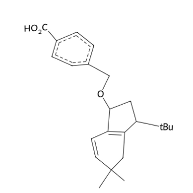 CC1(C)C=CC2=C(C1)C(C(C)(C)C)CC2OCc1ccc(C(=O)O)cc1